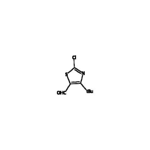 CC(C)(C)c1nc(Cl)sc1C=O